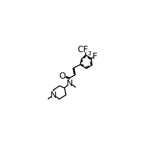 CN1CCC(N(C)C(=O)/C=C/c2ccc(F)c(C(F)(F)F)c2)CC1